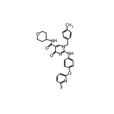 Cc1ccc(Cn2cc(C(=O)NC3CCOCC3)c(=O)nc2Nc2ccc(Oc3cccc(F)n3)cc2)cc1